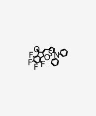 O=C1C(=Cc2ccc(N(c3ccccc3)c3ccccc3)s2)C(=O)c2c(F)c(F)c(F)c(F)c21